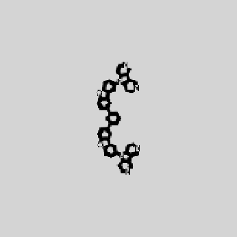 C1=CC2Oc3ccc(-c4cccc(-c5ccc6oc7ccc(-n8c9c(c%10cnccc%108)C=NCC9)cc7c6c5)c4)cc3C2C=C1n1c2ccncc2c2cnccc21